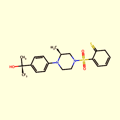 [CH2][C@H]1CN(S(=O)(=O)C2=CC=CCC2=S)CCN1c1ccc([C@@](C)(O)C(F)(F)F)cc1